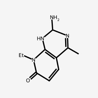 CCn1c2c(ccc1=O)C(C)=NC(N)N2